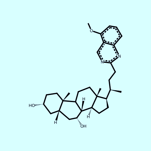 COc1cccc2nc(CC[C@@H](C)[C@H]3CC[C@H]4[C@H]5C(CC[C@]34C)[C@@]3(C)CC[C@@H](O)C[C@H]3C[C@H]5O)ncc12